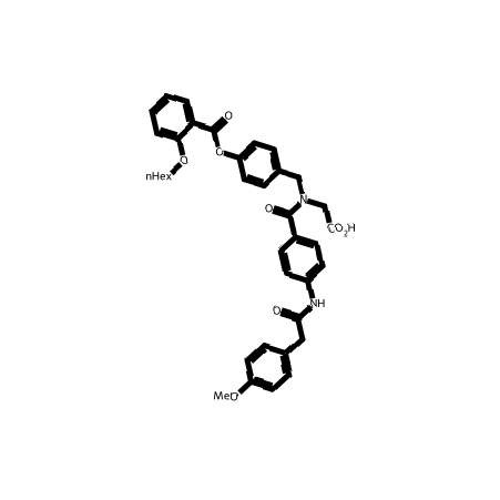 CCCCCCOc1ccccc1C(=O)Oc1ccc(CN(CC(=O)O)C(=O)c2ccc(NC(=O)Cc3ccc(OC)cc3)cc2)cc1